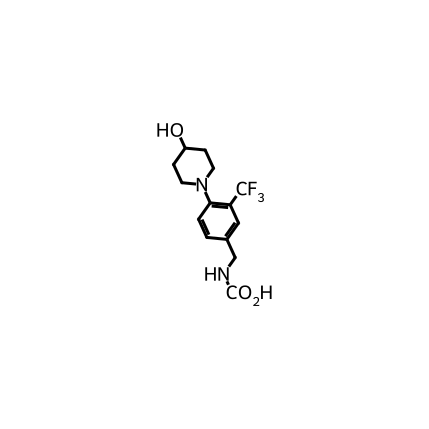 O=C(O)NCc1ccc(N2CCC(O)CC2)c(C(F)(F)F)c1